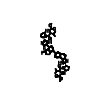 COC(=O)N[C@H](C(=O)N1CCC[C@H]1c1nc2ccc3cc(-c4ccc(-c5cnc([C@@H]6CCCN6C(=O)[C@H](NC(=O)OC)C(C)C)[nH]5)c5c4CCC5(F)F)ccc3c2[nH]1)C(C)C